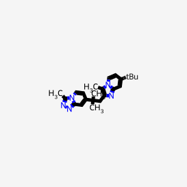 Cc1nnc2cc(C(C)(C)Cc3nc4cc(C(C)(C)C)ccn4c3C)ccn12